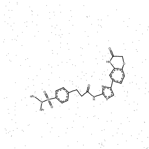 CCCN(CCC)S(=O)(=O)c1ccc(CCC(=O)Nc2nc(-c3ccc4c(c3)NC(=O)CO4)cs2)cc1